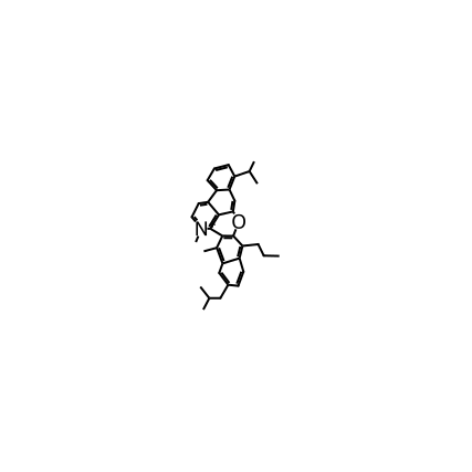 CCCc1c2c(c(C)c3cc(CC(C)C)ccc13)-c1c3c(cc4c(C(C)C)cccc4c3cc[n+]1C)O2